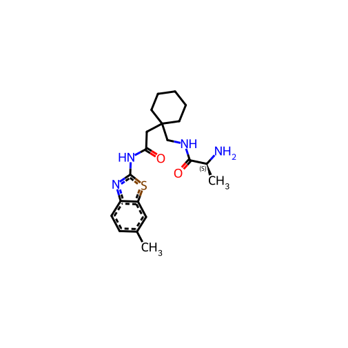 Cc1ccc2nc(NC(=O)CC3(CNC(=O)[C@H](C)N)CCCCC3)sc2c1